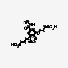 CCCCOc1c(OCCCS(=O)(=O)O)cc(C(=O)NCCC)cc1OCCCS(=O)(=O)O